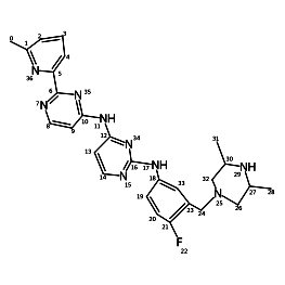 Cc1cccc(-c2nccc(Nc3ccnc(Nc4ccc(F)c(CN5CC(C)NC(C)C5)c4)n3)n2)n1